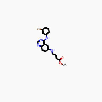 COC(=O)C=CCNc1ccc2ncnc(Nc3cccc(Br)c3)c2c1